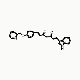 O=C(C=Cc1ccc(OCc2ccccn2)cc1)CC(=O)C=Cc1c[nH]c2ccccc12